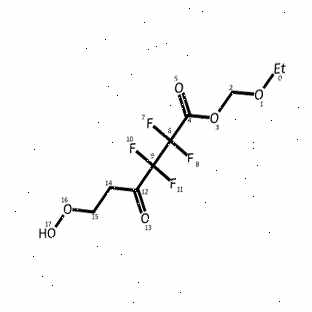 CCOCOC(=O)C(F)(F)C(F)(F)C(=O)CCOO